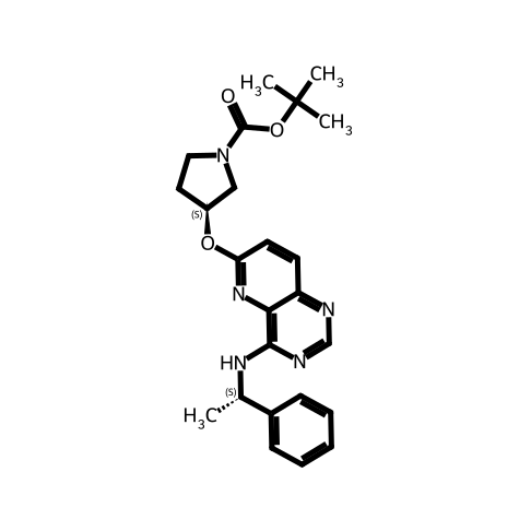 C[C@H](Nc1ncnc2ccc(O[C@H]3CCN(C(=O)OC(C)(C)C)C3)nc12)c1ccccc1